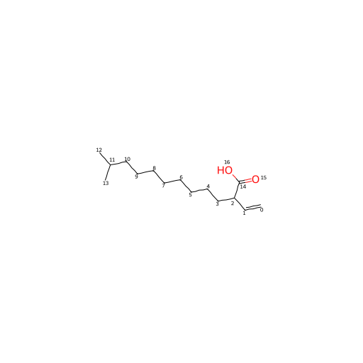 C=CC(CCCCCCCCC(C)C)C(=O)O